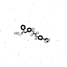 O=C(Nc1ccc(-c2cnco2)cc1)C(=O)Nc1cccc(CN(C(=O)O)c2ccccc2)c1